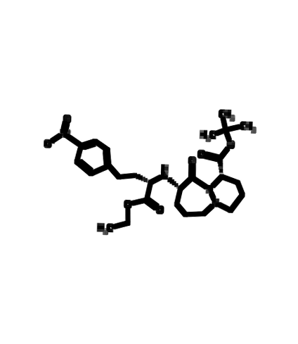 CCOC(=O)[C@H](CCc1ccc([N+](=O)[O-])cc1)N[C@H]1CCCN2CCC[C@@H](C(=O)OC(C)(C)C)N2C1=O